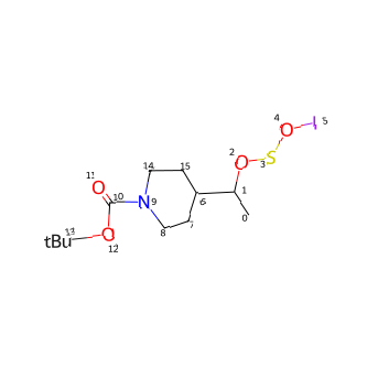 CC(OSOI)C1CCN(C(=O)OC(C)(C)C)CC1